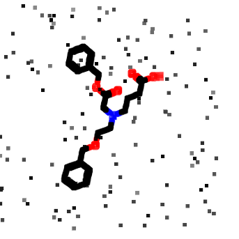 O=C(O)CCCN(CCOCc1ccccc1)CC(=O)OCc1ccccc1